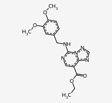 CCOC(=O)c1cnc(NCc2ccc(OC)c(OC)c2)n2ncnc12